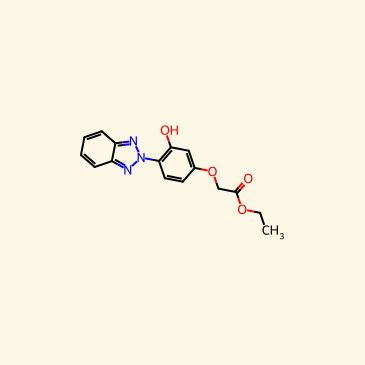 CCOC(=O)COc1ccc(-n2nc3ccccc3n2)c(O)c1